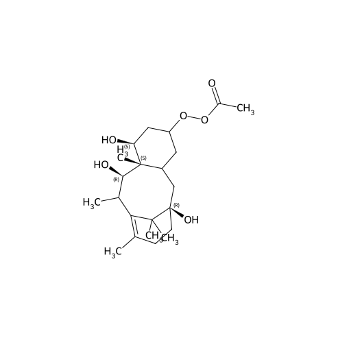 CC(=O)OOC1CC2C[C@]3(O)CCC(C)=C(C(C)[C@@H](O)[C@]2(C)[C@@H](O)C1)C3(C)C